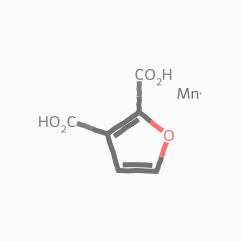 O=C(O)c1ccoc1C(=O)O.[Mn]